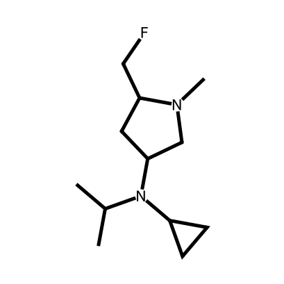 CC(C)N(C1CC1)C1CC(CF)N(C)C1